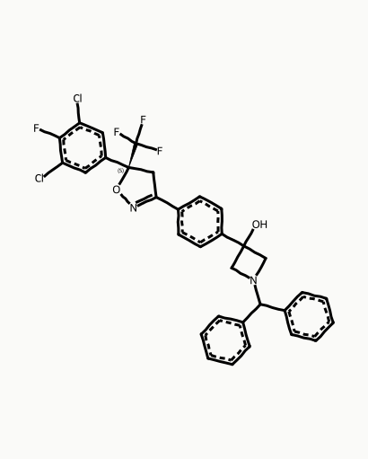 OC1(c2ccc(C3=NO[C@@](c4cc(Cl)c(F)c(Cl)c4)(C(F)(F)F)C3)cc2)CN(C(c2ccccc2)c2ccccc2)C1